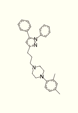 Cc1ccc(N2CCN(CCCc3cc(-c4ccccc4)n(-c4ccccc4)n3)CC2)c(C)c1